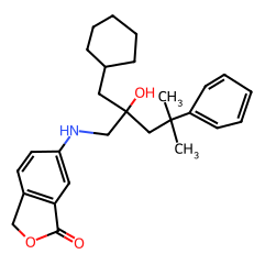 CC(C)(CC(O)(CNc1ccc2c(c1)C(=O)OC2)CC1CCCCC1)c1ccccc1